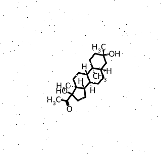 CC(=O)C1(O)CC[C@H]2[C@@H]3CC[C@H]4C[C@@](C)(O)CC[C@]4(C)[C@H]3CC[C@@]21C